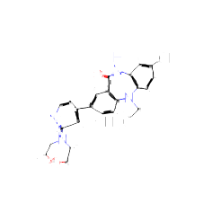 CCN1c2ccc(C)cc2NC(=O)c2cc(-c3ccnc(N4CCOCC4)c3)ccc21